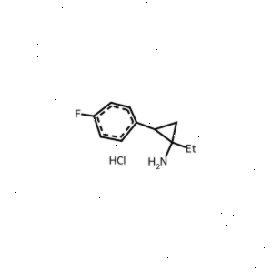 CCC1(N)CC1c1ccc(F)cc1.Cl